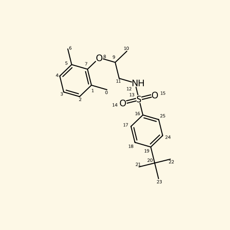 Cc1cccc(C)c1OC(C)CNS(=O)(=O)c1ccc(C(C)(C)C)cc1